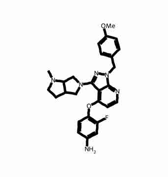 COc1ccc(Cn2nc(N3CC4CCN(C)C4C3)c3c(Oc4ccc(N)cc4F)ccnc32)cc1